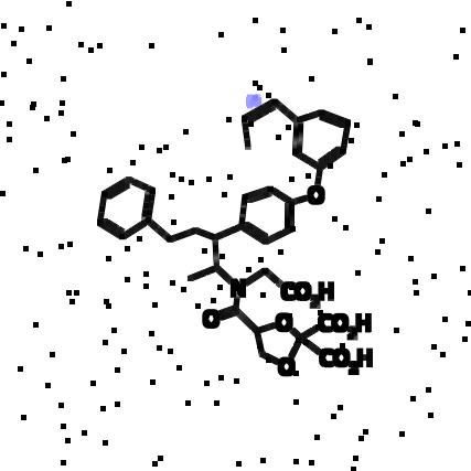 C/C=C\c1cccc(Oc2ccc(C(CCc3ccccc3)C(C)N(CC(=O)O)C(=O)C3COC(C(=O)O)(C(=O)O)O3)cc2)c1